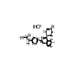 CCCC(=O)Nc1ccc(-c2cc3ccccc3c(N3CCN(CC)CC3)n2)cc1.Cl